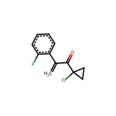 C=C(C(=O)C1(Cl)CC1)c1ccccc1F